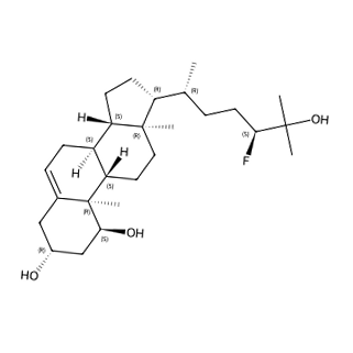 C[C@H](CC[C@H](F)C(C)(C)O)[C@H]1CC[C@H]2[C@@H]3CC=C4C[C@@H](O)C[C@H](O)[C@]4(C)[C@H]3CC[C@]12C